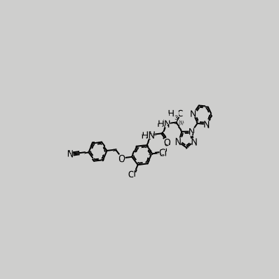 C[C@H](NC(=O)Nc1cc(OCc2ccc(C#N)cc2)c(Cl)cc1Cl)c1ncnn1-c1ncccn1